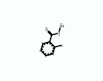 Cc1ccccc1C(=O)OS